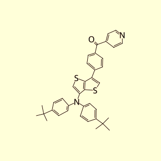 CC(C)(C)c1ccc(N(c2ccc(C(C)(C)C)cc2)c2csc3c(-c4ccc(C(=O)c5ccncc5)cc4)csc23)cc1